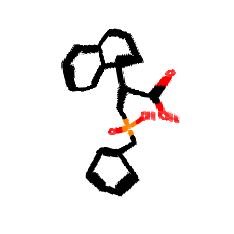 O=C(O)C(CP(=O)(O)Cc1ccccc1)c1cccc2ccccc12